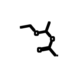 [CH2]C(=O)OC(C)OCC